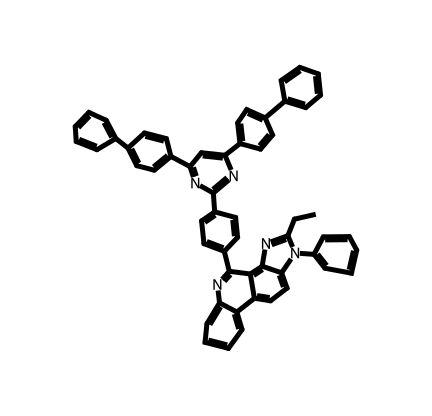 CCc1nc2c3c(-c4ccc(-c5nc(-c6ccc(-c7ccccc7)cc6)cc(-c6ccc(-c7ccccc7)cc6)n5)cc4)nc4ccccc4c3ccc2n1-c1ccccc1